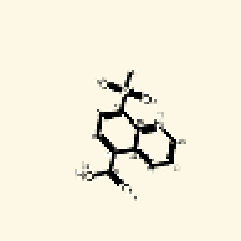 CS(=O)(=O)c1ccc(C(=O)O)c2cccnc12